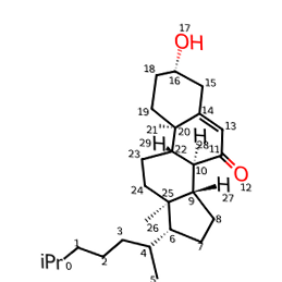 CC(C)CCCC(C)[C@H]1CC[C@H]2[C@@H]3C(=O)C=C4C[C@@H](O)CC[C@]4(C)[C@H]3CC[C@]12C